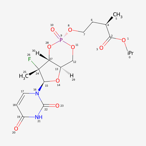 CC(C)OC(=O)[C@H](C)CCO[P@]1(=O)OC[C@H]2O[C@@H](n3ccc(=O)[nH]c3=O)[C@](C)(F)[C@@H]2O1